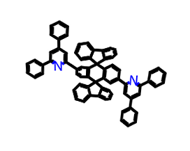 c1ccc(-c2cc(-c3ccccc3)nc(-c3ccc4c(c3)C3(c5ccccc5-c5ccccc53)c3ccc(-c5cc(-c6ccccc6)cc(-c6ccccc6)n5)cc3C43c4ccccc4-c4ccccc43)c2)cc1